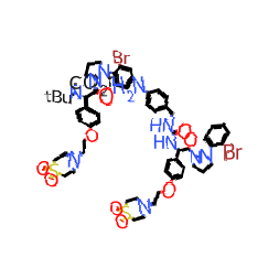 CC(C)(C)N(C(=O)O)[C@H](C(=O)N1CCCN1c1ccccc1Br)c1ccc(OCCN2CCS(=O)(=O)CC2)cc1.Nc1ccc(CNC(=O)N[C@H](C(=O)N2CCCN2c2ccccc2Br)c2ccc(OCCN3CCS(=O)(=O)CC3)cc2)cc1